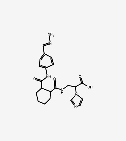 NN=Cc1ccc(NC(=O)C2CCCCC2C(=O)NCC(C(=O)O)n2ccnc2)cc1